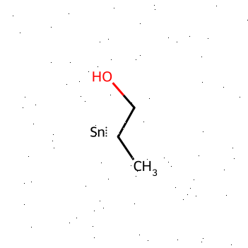 CCCO.[Sn]